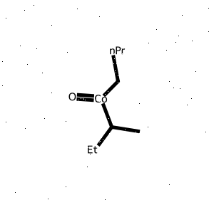 CCC[CH2][Co](=[O])[CH](C)CC